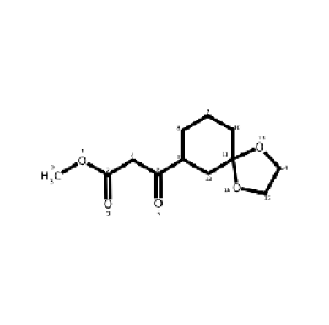 COC(=O)CC(=O)C1CCCC2(C1)OCCO2